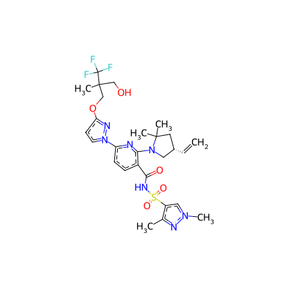 C=C[C@@H]1CN(c2nc(-n3ccc(OCC(C)(CO)C(F)(F)F)n3)ccc2C(=O)NS(=O)(=O)c2cn(C)nc2C)C(C)(C)C1